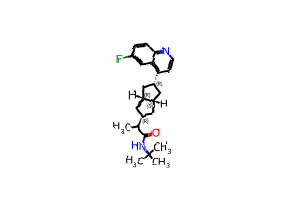 CC(C(=O)NC(C)(C)C)[C@@H]1C[C@H]2C[C@@H](c3ccnc4ccc(F)cc34)C[C@H]2C1